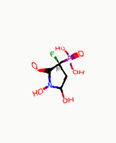 O=C1N(O)C(O)C[C@@]1(F)P(=O)(O)O